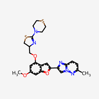 COc1cc(OCC2CSC(N3CCSCC3)=N2)c2cc(-c3cn4nc(C)ccc4n3)oc2c1